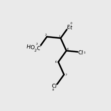 CCC(CC(=O)O)C(Cl)CCCl